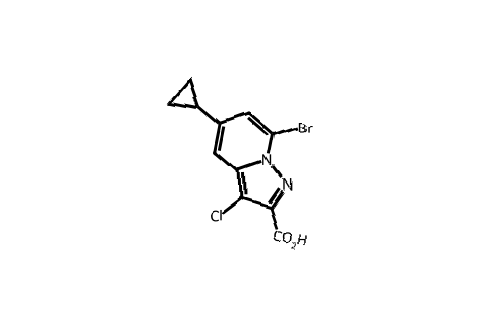 O=C(O)c1nn2c(Br)cc(C3CC3)cc2c1Cl